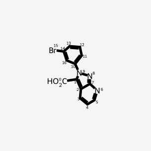 O=C(O)c1c2cccnc2nn1-c1cccc(Br)c1